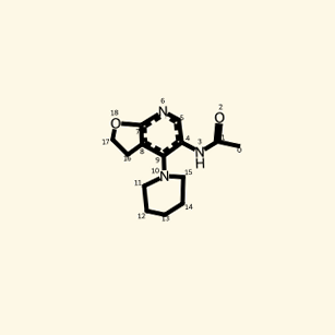 CC(=O)Nc1cnc2c(c1N1CCCCC1)CCO2